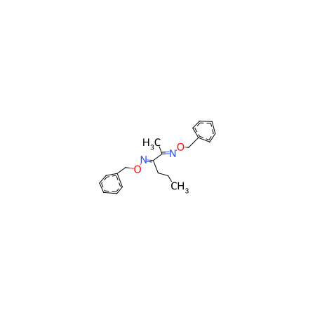 CCCC(=N\OCc1ccccc1)/C(C)=N/OCc1ccccc1